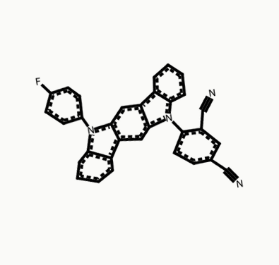 N#Cc1ccc(-n2c3ccccc3c3cc4c(cc32)c2ccccc2n4-c2ccc(F)cc2)c(C#N)c1